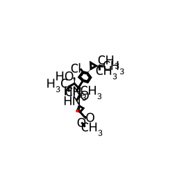 COC(=O)C12CC(NC(=O)NC(C)(c3ccc([C@@H]4C[C@H]4C(C)(C)C)c(Cl)c3)[C@H](CO)C(C)C)(C1)C2